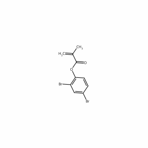 C=C(C)C(=O)Oc1ccc(Br)cc1Br